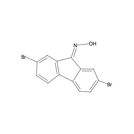 ON=C1c2cc(Br)ccc2-c2ccc(Br)cc21